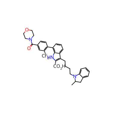 CC1Cc2ccccc2N1CCCCc1c(C(=O)O)[nH]c2c(-c3ccc(C(=O)N4CCOCC4)cc3C(F)(F)F)cccc12